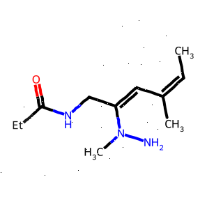 C/C=C(C)\C=C(\CNC(=O)CC)N(C)N